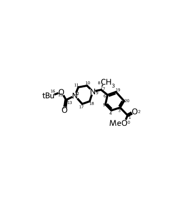 COC(=O)c1ccc([C@@H](C)N2CCN(C(=O)OC(C)(C)C)CC2)cc1